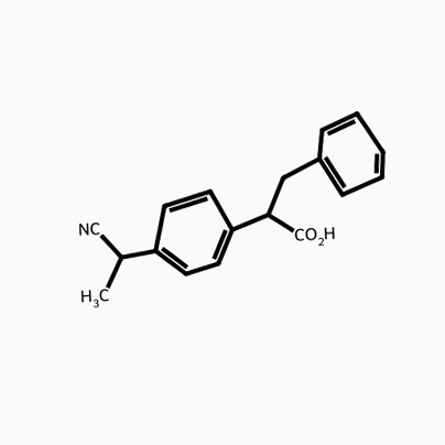 CC(C#N)c1ccc(C(Cc2ccccc2)C(=O)O)cc1